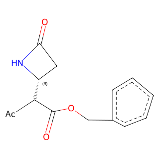 CC(=O)C(C(=O)OCc1ccccc1)[C@H]1CC(=O)N1